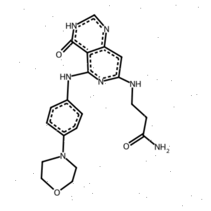 NC(=O)CCNc1cc2nc[nH]c(=O)c2c(Nc2ccc(N3CCOCC3)cc2)n1